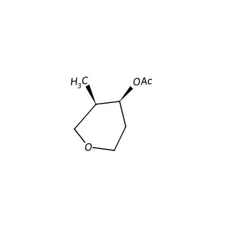 CC(=O)O[C@H]1CCOC[C@H]1C